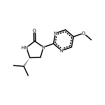 COc1cnc(N2C[C@H](C(C)C)NC2=O)nc1